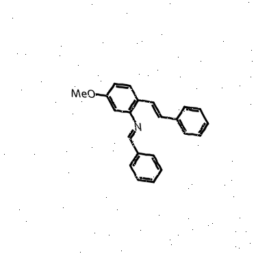 COc1ccc(C=Cc2ccccc2)c(N=Cc2ccccc2)c1